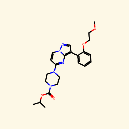 COCCOc1ccccc1-c1cnn2ccc(N3CCN(C(=O)OC(C)C)CC3)nc12